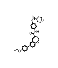 CCOc1ccc(-c2ccc3c(c2)C=C(C(=O)Nc2ccc(CN(C)C4CCOCC4)cc2)CCS3)cc1